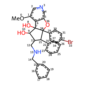 COc1cncc2c1C1(O)C(O)C(CNCc3ccccc3)C(c3ccccc3)C1(c1ccc(Br)cc1)O2